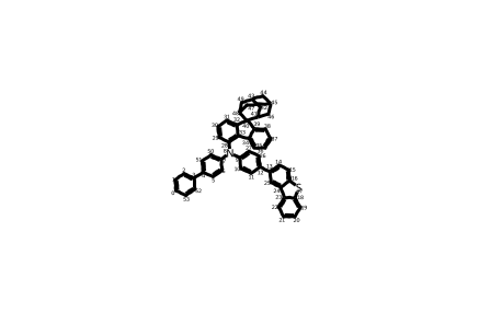 c1ccc(-c2ccc(N(c3ccc(-c4ccc5sc6ccccc6c5c4)cc3)c3cccc4c3-c3ccccc3C43C4CC5CC(C4)CC3C5)cc2)cc1